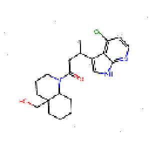 CC(CC(=O)N1CCCC2(CO)CCCCC12)c1c[nH]c2nccc(Cl)c12